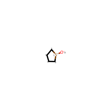 [O-][S+]1CCCC1